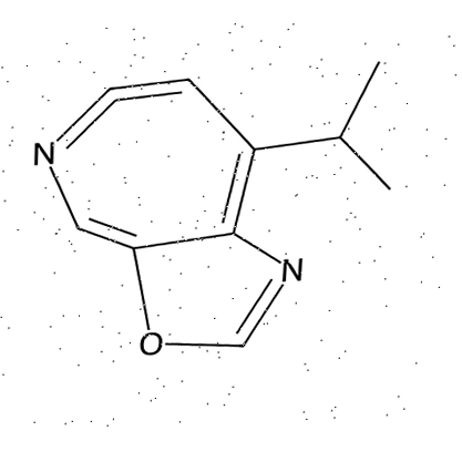 CC(C)C1=c2ncoc2=CN=C=C1